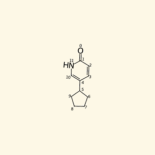 O=c1ccc(C2CCCC2)c[nH]1